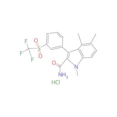 Cc1ccc2c(c1C)c(-c1cccc(S(=O)(=O)C(F)(F)F)c1)c(C(N)=O)n2C.Cl